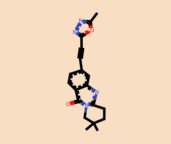 Cc1nnc(C#Cc2ccc3c(=O)n4c(nc3c2)CCC(C)(C)C4)o1